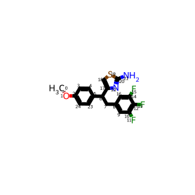 COc1ccc(C(Cc2cc(F)c(F)c(F)c2)c2csc(N)n2)cc1